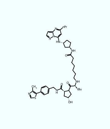 CCCc1cc(N[C@@H]2CC[C@@H](NC(=O)CCCCCCN[C@H](C(=O)C3C[C@H](O)C[C@H]3C(=O)NCc3ccc(-c4scnc4C)cc3)C(C)(C)C)C2)n2nccc2n1